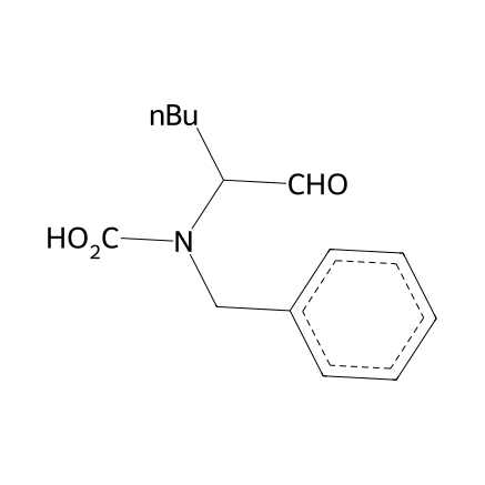 CCCCC(C=O)N(Cc1ccccc1)C(=O)O